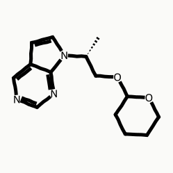 C[C@H](COC1CCCCO1)n1ccc2cncnc21